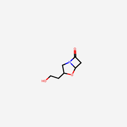 O=C1CC2OC(CCO)CN12